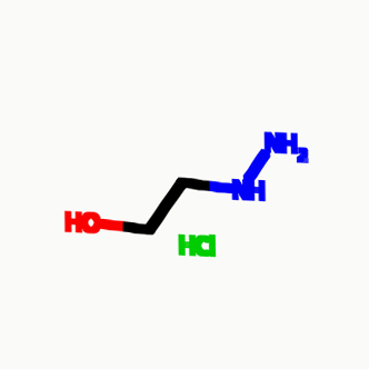 Cl.NNCCO